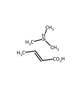 C/C=C/C(=O)O.C[SiH](C)C